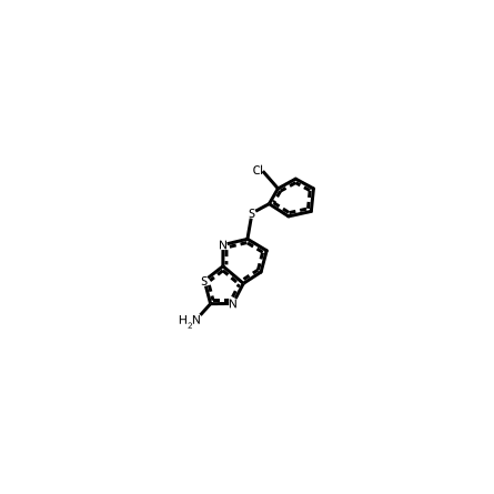 Nc1nc2ccc(Sc3ccccc3Cl)nc2s1